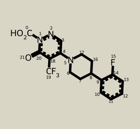 O=C(O)n1ncc(N2CCC(c3ccccc3F)CC2)c(C(F)(F)F)c1=O